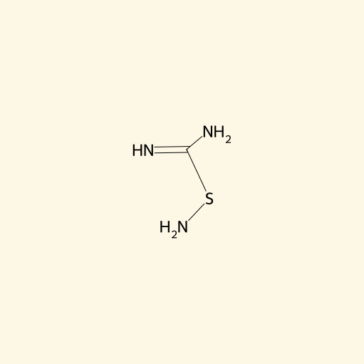 N=C(N)SN